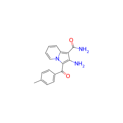 Cc1ccc(C(=O)c2c(N)c(C(N)=O)c3ccccn23)cc1